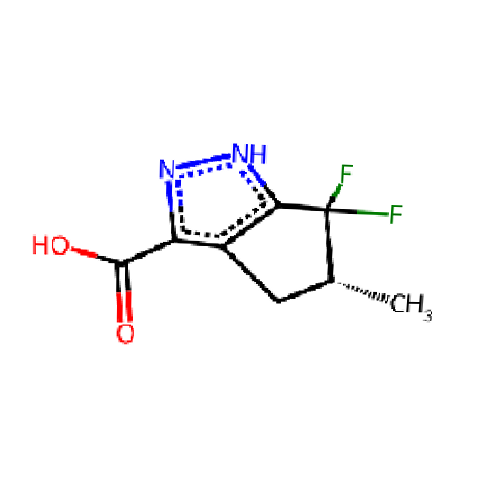 C[C@@H]1Cc2c(C(=O)O)n[nH]c2C1(F)F